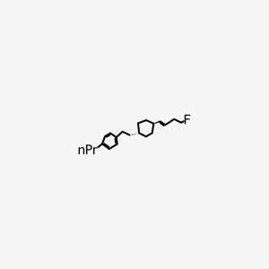 CCCc1ccc(CC[C@H]2CC[C@H](/C=C/CCF)CC2)cc1